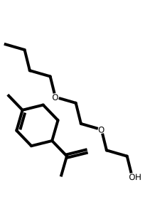 C=C(C)C1CC=C(C)CC1.CCCCOCCOCCO